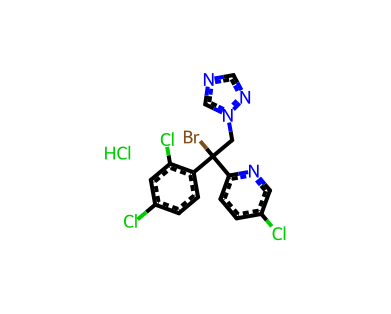 Cl.Clc1ccc(C(Br)(Cn2cncn2)c2ccc(Cl)cc2Cl)nc1